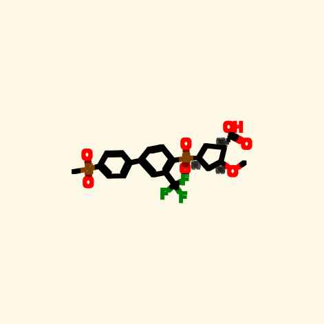 CO[C@H]1C[C@@H](S(=O)(=O)c2ccc(-c3ccc(S(C)(=O)=O)cc3)cc2C(F)(F)F)C[C@@H]1C(=O)O